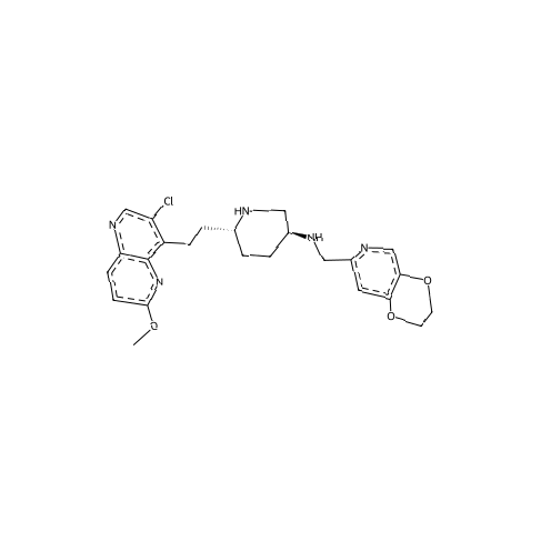 COc1ccc2ncc(Cl)c(CC[C@H]3CC[C@H](NCc4cc5c(cn4)OCCO5)CN3)c2n1